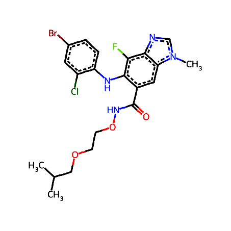 CC(C)COCCONC(=O)c1cc2c(ncn2C)c(F)c1Nc1ccc(Br)cc1Cl